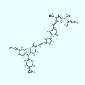 COC(=O)/C(C#N)=c1/nc(C(C)(C)C)c(=Cc2ccc(-c3ccc(C#Cc4ccc(N(c5ccc(OC)cc5)c5ccc(OC)cc5)cc4)s3)s2)s1